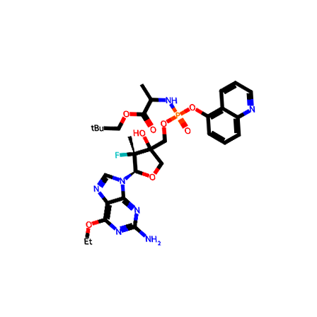 CCOc1nc(N)nc2c1ncn2[C@@H]1OCC(O)(COP(=O)(NC(C)C(=O)OCC(C)(C)C)Oc2cccc3ncccc23)[C@@]1(C)F